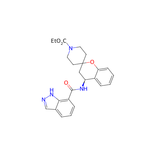 CCOC(=O)N1CCC2(CC1)C[C@H](NC(=O)c1cccc3cn[nH]c13)c1ccccc1O2